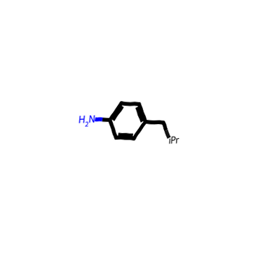 CC(C)Cc1ccc(N)cc1